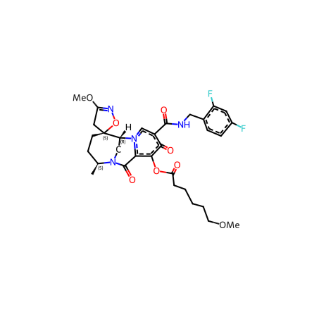 COCCCCCC(=O)Oc1c2n(cc(C(=O)NCc3ccc(F)cc3F)c1=O)[C@@H]1CN(C2=O)[C@@H](C)CC[C@]12CC(OC)=NO2